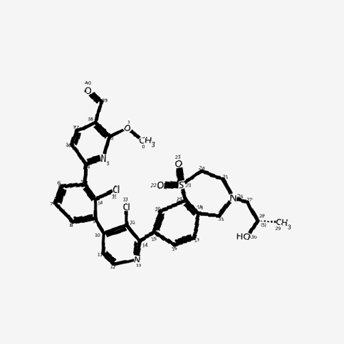 COc1nc(-c2cccc(-c3ccnc(-c4ccc5c(c4)S(=O)(=O)CCN(C[C@H](C)O)C5)c3Cl)c2Cl)ccc1C=O